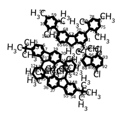 CC(C)(C)c1ccc2c(c1)C(C1CCCCC1)c1c-2ccc(C(C)(C)C)[c]1[Zr]([CH3])([CH3])[c]1c(C(C)(C)C)ccc2c1C(C1CCCCC1)c1cc(C(C)(C)C)ccc1-2.Cc1cc(C)c(-c2ccc3c(c2)-c2cc(-c4c(C)cc(C)cc4C)c[c]([Zr]([CH3])([CH3])[CH]4C=Cc5c(Cl)ccc(Cl)c54)c2C3)c(C)c1